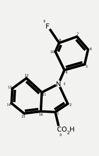 O=C(O)c1cn(-c2cccc(F)c2)c2ccccc12